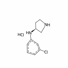 Cl.Clc1cccc(N[C@H]2CCNC2)c1